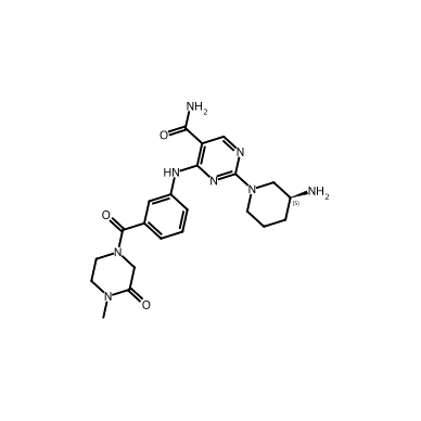 CN1CCN(C(=O)c2cccc(Nc3nc(N4CCC[C@H](N)C4)ncc3C(N)=O)c2)CC1=O